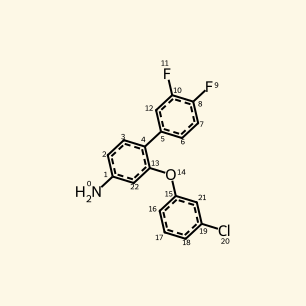 Nc1ccc(-c2ccc(F)c(F)c2)c(Oc2cccc(Cl)c2)c1